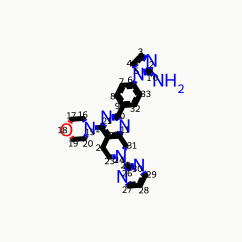 Nc1nccn1-c1ccc(-c2nc3c(c(N4CCOCC4)n2)CCN(c2ncccn2)C3)cc1